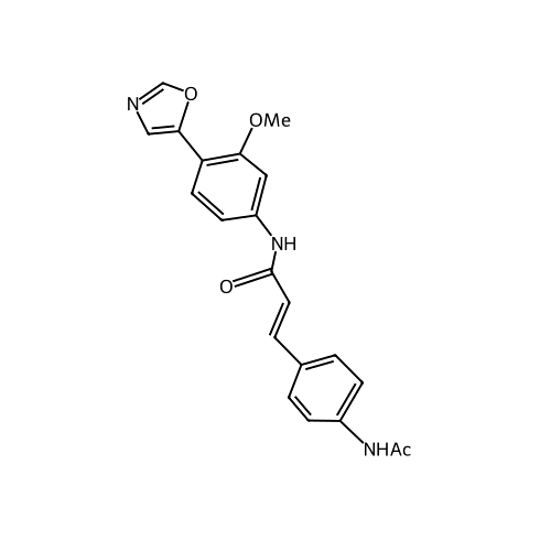 COc1cc(NC(=O)C=Cc2ccc(NC(C)=O)cc2)ccc1-c1cnco1